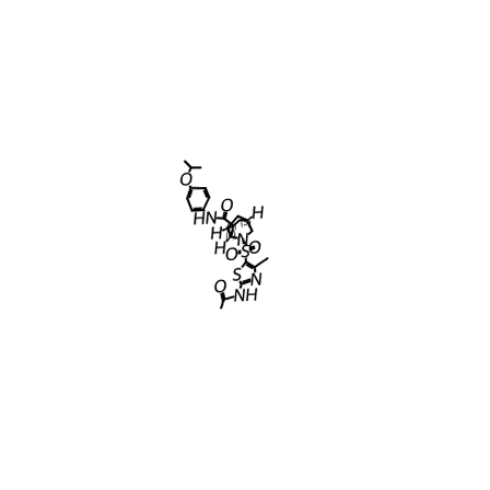 CC(=O)Nc1nc(C)c(S(=O)(=O)N2C[C@H]3CC[C@@H]2[C@H](C(=O)Nc2ccc(OC(C)C)cc2)C3)s1